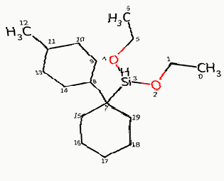 CCO[SiH](OCC)C1(C2CCC(C)CC2)CCCCC1